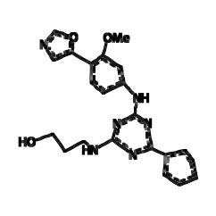 COc1cc(Nc2nc(NCCCO)nc(-c3ccccc3)n2)ccc1-c1cnco1